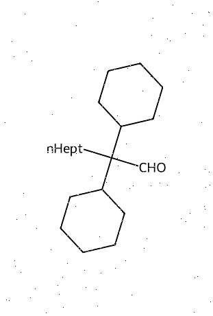 CCCCCCCC(C=O)(C1CCCCC1)C1CCCCC1